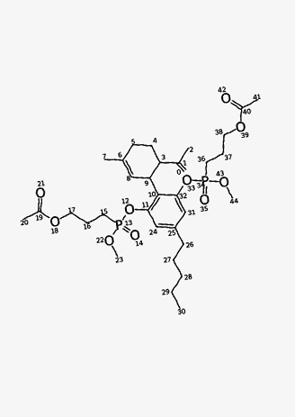 C=C(C)C1CCC(C)=CC1c1c(OP(=O)(CCCOC(C)=O)OC)cc(CCCCC)cc1OP(=O)(CCCOC(C)=O)OC